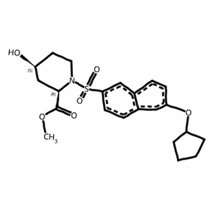 COC(=O)[C@H]1C[C@@H](O)CCN1S(=O)(=O)c1ccc2cc(OC3CCCC3)ccc2c1